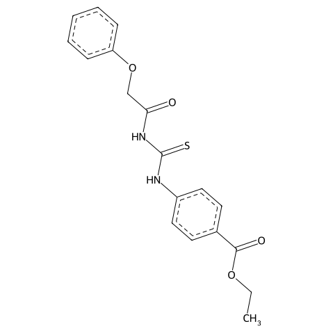 CCOC(=O)c1ccc(NC(=S)NC(=O)COc2ccccc2)cc1